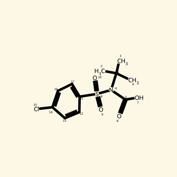 CC(C)(C)N(C(=O)O)S(=O)(=O)c1ccc(Cl)cc1